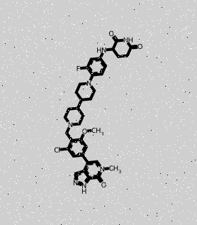 COc1cc(-c2cn(C)c(=O)c3[nH]ncc23)cc(Cl)c1CN1CCC(C2CCN(c3ccc(NC4CCC(=O)NC4=O)cc3F)CC2)CC1